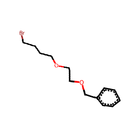 BrCCCCOCCOCc1ccccc1